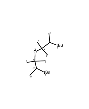 CC(C(C)(C)C)C(C)(C)OC(C)(C)C(C)C(C)(C)C